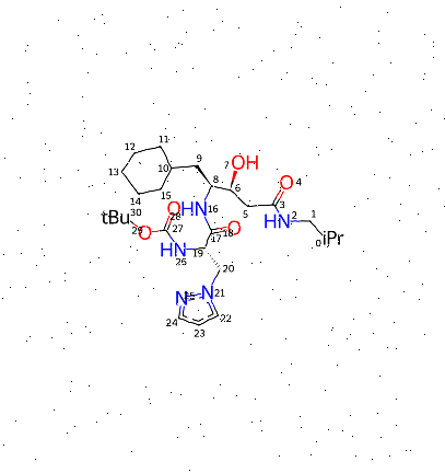 CC(C)CNC(=O)C[C@H](O)[C@H](CC1CCCCC1)NC(=O)[C@H](Cn1cccn1)NC(=O)OC(C)(C)C